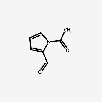 CC(=O)n1cccc1C=O